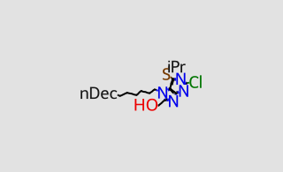 CCCCCCCCCCCCCCCCn1c(CO)nc2nc(Cl)nc(SC(C)C)c21